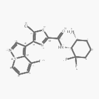 N[C@@H]1CCCC(F)(F)[C@@H]1NC(=O)c1nc(-c2cnn3cccc(F)c23)c(Cl)s1